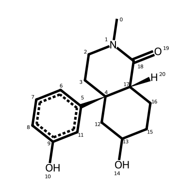 CN1CC[C@@]2(c3cccc(O)c3)CC(O)CC[C@H]2C1=O